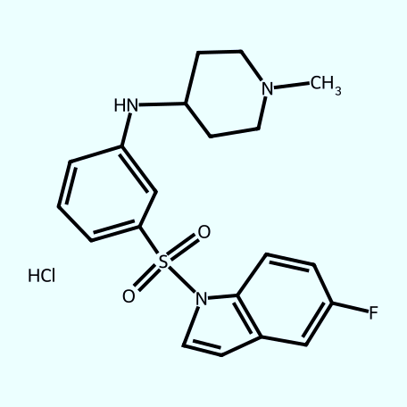 CN1CCC(Nc2cccc(S(=O)(=O)n3ccc4cc(F)ccc43)c2)CC1.Cl